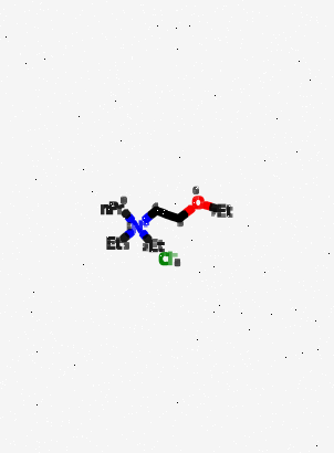 CCC[N+](CC)(CC)CCOCC.[Cl-]